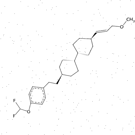 COCC=C[C@H]1CC[C@H]([C@H]2CC[C@H](CCc3ccc(OC(F)F)cc3)CC2)CC1